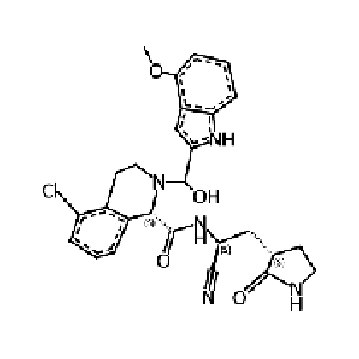 COc1cccc2[nH]c(C(O)N3CCc4c(Cl)cccc4[C@H]3C(=O)N[C@H](C#N)C[C@@H]3CCNC3=O)cc12